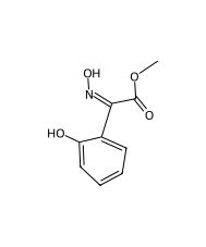 COC(=O)C(=NO)c1ccccc1O